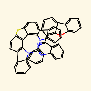 c1ccc(-n2c3ccccc3c3ccc4sc5ccc6c7ccccc7n(-c7nc(-c8cccc9c8oc8ccccc89)c8ccccc8n7)c6c5c4c32)cc1